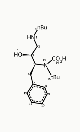 CCCCNC[C@H](O)[C@H](Cc1ccccc1)N(C(=O)O)C(C)(C)C